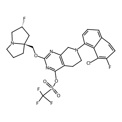 O=S(=O)(Oc1nc(OC[C@@]23CCCN2C[C@H](F)C3)nc2c1CCN(c1cccc3ccc(F)c(Cl)c13)C2)C(F)(F)F